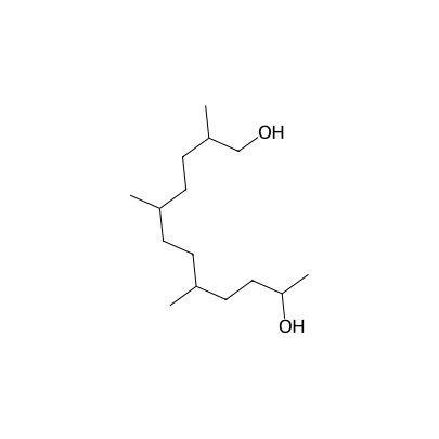 CC(O)CCC(C)CCC(C)CCC(C)CO